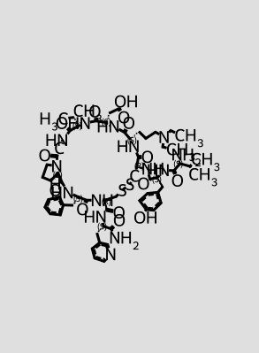 CCN(CC)CCC[C@@H]1NC(=O)[C@@H](NC(=O)[C@H](Cc2ccc(O)cc2)NC(=O)[C@@H](N)C(C)C)CSSC[C@@H](C(=O)N[C@@H](Cc2cccnc2)C(N)=O)NC(=O)[C@H](Cc2ccccc2)NC(=O)[C@@H]2CCCN2C(=O)CNC(=O)[C@H](C(C)C)NC(=O)[C@H](CC(=O)O)NC1=O